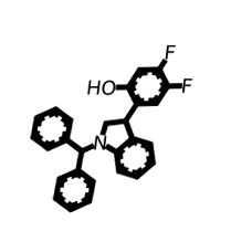 Oc1cc(F)c(F)cc1C1CN(C(c2ccccc2)c2ccccc2)c2ccccc21